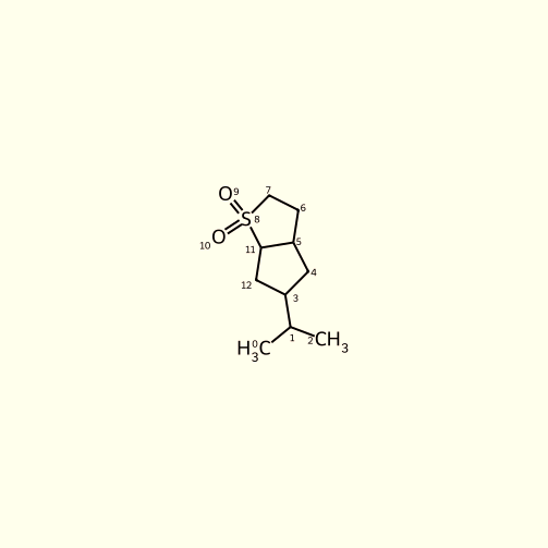 CC(C)C1CC2CCS(=O)(=O)C2C1